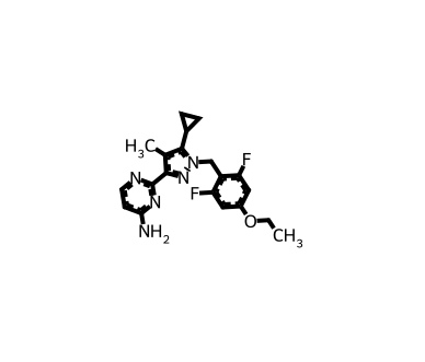 CCOc1cc(F)c(Cn2nc(-c3nccc(N)n3)c(C)c2C2CC2)c(F)c1